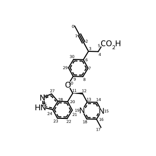 CC#CC(CC(=O)O)c1ccc(O[C@@H](Cc2cnc(C)cn2)c2cccc3[nH]ncc23)cc1